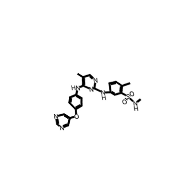 CNS(=O)(=O)c1cc(Nc2ncc(C)c(Nc3ccc(Oc4cncnc4)cc3)n2)ccc1C